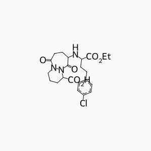 CCOC(=O)C(CCc1ccc(Cl)cc1)NC1CCC(=O)N2CCCC(C(=O)O)N2C1=O